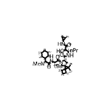 CCC[C@H](NC(=O)[C@@H]1C[C@@]2(CN1C(=O)[C@@H](NC(=O)[C@@H](NC)C1CCCCC1)C(C)(C)C)C(C)(C)C21CCC1)C(O)C(=O)NC1CC1